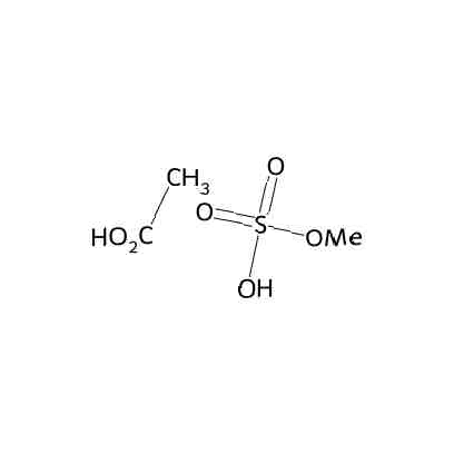 CC(=O)O.COS(=O)(=O)O